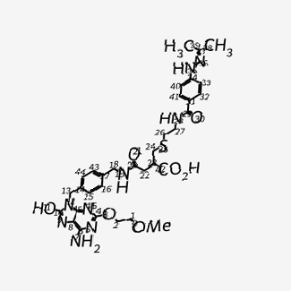 COCCOc1nc(N)c2nc(O)n(Cc3ccc(CNC(=O)CC(CSCCNC(=O)c4ccc(NN=C(C)C)cc4)C(=O)O)cc3)c2n1